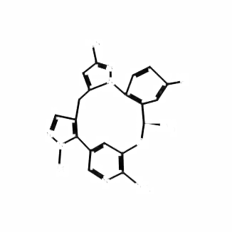 CCn1ncc2c1-c1cnc(N)c(c1)O[C@H](C)c1cc(F)ccc1-n1nc(C#N)cc1C2